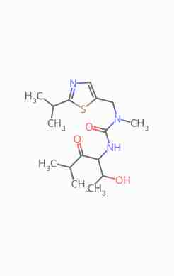 CC(C)C(=O)C(NC(=O)N(C)Cc1cnc(C(C)C)s1)C(C)O